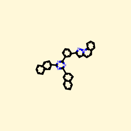 c1cc(-c2cc3ccc4ccccc4n3n2)cc(-c2nc(-c3ccc4ccccc4c3)nc(-c3ccc4ccccc4c3)n2)c1